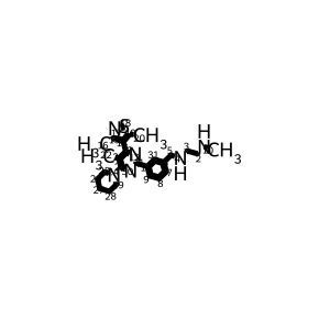 CNCCNCc1cccc(-c2nc(-c3c(C)nsc3C)c(C)c(N3CCCCC3)n2)c1